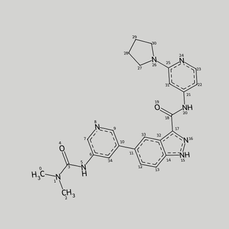 CN(C)C(=O)Nc1cncc(-c2ccc3[nH]nc(C(=O)Nc4ccnc(N5CCCC5)c4)c3c2)c1